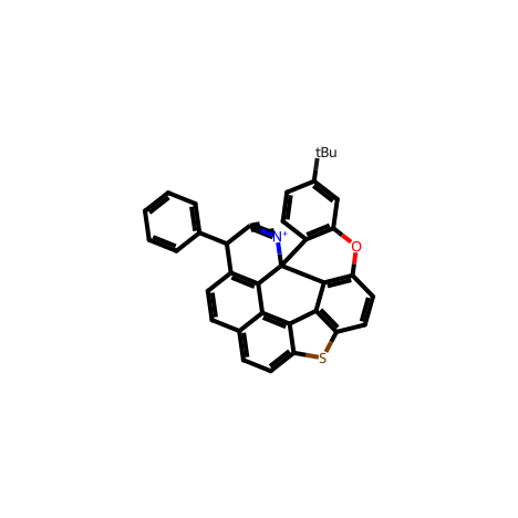 CC(C)(C)c1ccc2c(c1)Oc1ccc3sc4ccc5ccc6c7c5c4c3c1C27[n+]1ccccc1C6c1ccccc1